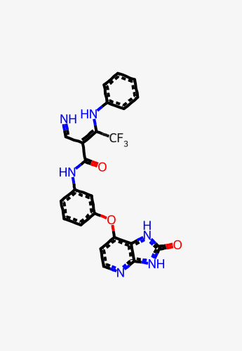 N=C/C(C(=O)Nc1cccc(Oc2ccnc3[nH]c(=O)[nH]c23)c1)=C(\Nc1ccccc1)C(F)(F)F